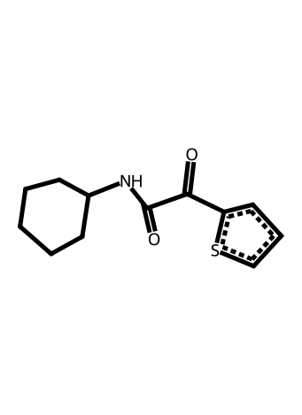 O=C(NC1CCCCC1)C(=O)c1cccs1